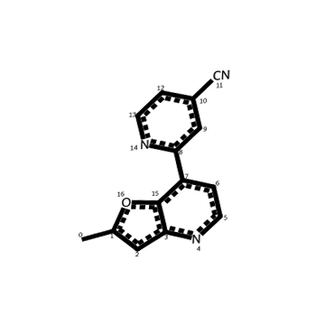 Cc1cc2nccc(-c3cc(C#N)ccn3)c2o1